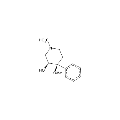 CO[C@]1(c2ccccc2)CCN(C(=O)O)C[C@@H]1O